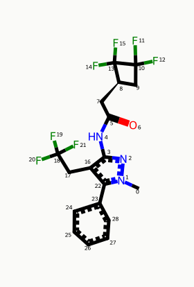 Cn1nc(NC(=O)C[C@@H]2CC(F)(F)C2(F)F)c(CC(F)(F)F)c1-c1ccccc1